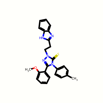 COc1ccccc1-c1nn(CCc2nc3ccccc3[nH]2)c(=S)n1-c1ccc(C)cc1